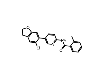 Cc1ccccc1C(=O)Nc1ccc(-c2cc3c(cc2Cl)CCO3)cn1